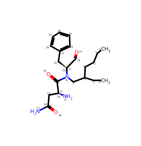 CCCCC(CC)CN(C(=O)[C@@H](N)CC(N)=O)[C@H]([C]=O)Cc1ccccc1